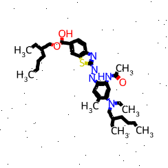 CCCCC(CC)COC(O)c1ccc2nc(N=Nc3cc(C)c(N(CC)CC(CC)CCCC)cc3NC(C)=O)sc2c1